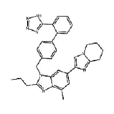 CCCc1nc2c(C)cc(-c3cn4c(n3)CCCC4)cc2n1Cc1ccc(-c2ccccc2-c2nnn[nH]2)cc1